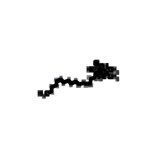 CCCC/C=C\CCCCCC/C=C\CCCC(O)(C[N+](C)(C)C)P(=O)(O)O